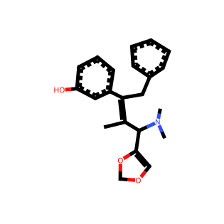 C/C(=C(/Cc1ccccc1)c1cccc(O)c1)C(C1=COCO1)N(C)C